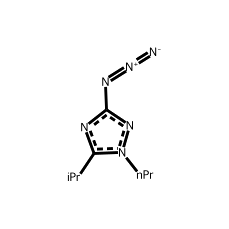 CCCn1nc(N=[N+]=[N-])nc1C(C)C